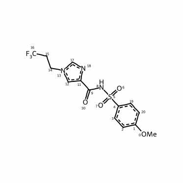 COc1ccc(S(=O)(=O)NC(=O)c2cn(CCC(F)(F)F)cn2)cc1